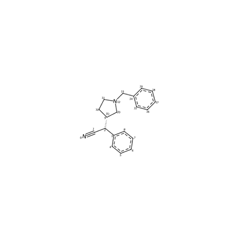 N#CC(c1ccccc1)[C@@H]1CCN(Cc2ccccc2)C1